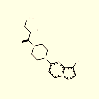 COC[C@H](N)C(=O)N1CCN(c2ccn3ncc(Br)c3n2)CC1